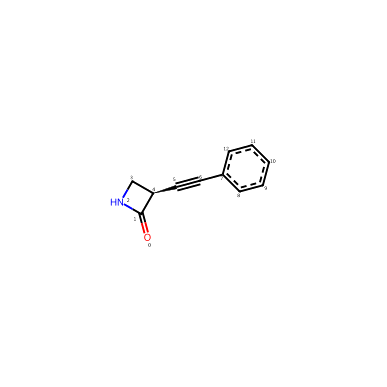 O=C1NC[C@H]1C#Cc1ccccc1